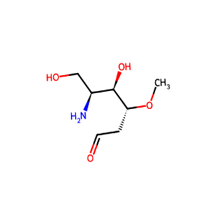 CO[C@H](CC=O)[C@H](O)[C@@H](N)CO